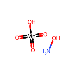 NO.[O]=[Mn](=[O])(=[O])[OH]